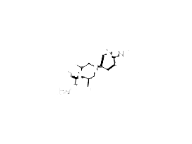 CC1CN(c2ccc([N+](=O)[O-])nc2)CC(C)N1C(=O)OC(C)(C)C